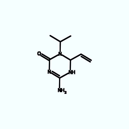 C=CC1NC(N)=NC(=O)N1C(C)C